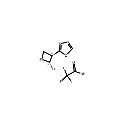 C[C@@H]1NC[C@H]1c1nnco1.O=C(O)C(F)(F)F